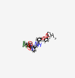 COc1ccccc1Oc1cccc(CNCC2=CN(S(=O)(=O)CC(F)(F)F)CC=C2)c1